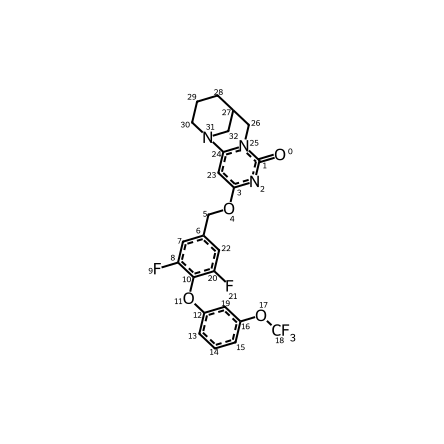 O=c1nc(OCc2cc(F)c(Oc3cccc(OC(F)(F)F)c3)c(F)c2)cc2n1CC1CCCN2C1